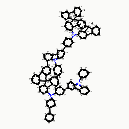 CC1(C)c2ccccc2-c2ccc(N(c3ccc(-c4ccc5c(c4)c4cccc(-c6ccc7c(c6)-c6ccccc6C76c7ccccc7-c7c(N(c8ccc(-c9ccccc9)cc8)c8ccc(-c9ccc%10c(c9)c9ccccc9n%10-c9ccccc9)cc8)cccc76)c4n5-c4ccccc4)cc3)c3cccc4c3-c3ccccc3C43c4ccccc4-c4ccccc43)cc21